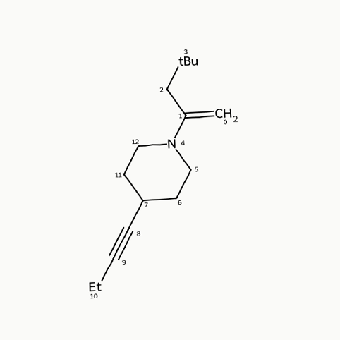 C=C(CC(C)(C)C)N1CCC(C#CCC)CC1